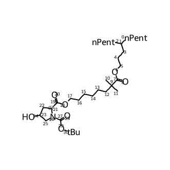 CCCCCC(CCCCC)CCCOC(=O)C(C)(C)CCCCCCOC(=O)[C@@H]1CC(O)CN1C(=O)OC(C)(C)C